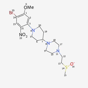 COc1cc(N2CCC(N3CCN(CC[S+](C)[O-])CC3)CC2)c([N+](=O)[O-])cc1Br